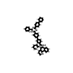 c1ccc(-c2ccc(C3=NC(c4ccccc4)NC(c4ccc(-c5ccc(C6Nc7c(c8cccnc8c8ccccc78)N6c6ccccn6)cc5)cc4)=N3)cc2)cc1